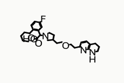 O=C(O)C(c1cc(F)ccc1C1CCCCO1)N1CCC(CCOCCc2ccc3c(n2)NCCC3)C1